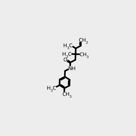 C=CC(C)C(C)(C)CC(=O)NCc1ccc(C)c(C)c1